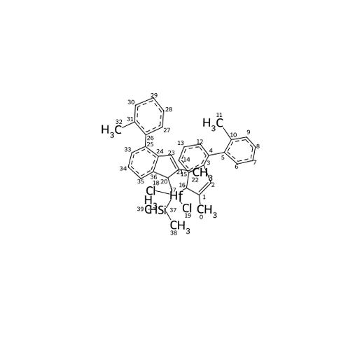 CC1=Cc2c(-c3ccccc3C)cccc2[CH]1[Hf]([Cl])([Cl])([CH]1C(C)=Cc2c(-c3ccccc3C)cccc21)[SiH](C)C